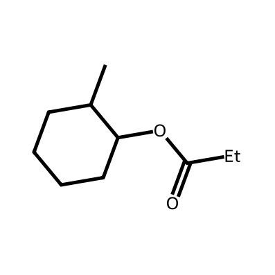 CCC(=O)OC1CCCCC1C